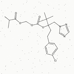 CC(C)C(=O)OCOC(=O)OC(CCc1ccc(Cl)cc1)(Cn1cncn1)C(C)(C)C